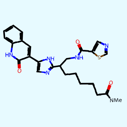 CNC(=O)CCCCCC(CNC(=O)c1cncs1)c1ncc(-c2cc3ccccc3[nH]c2=O)[nH]1